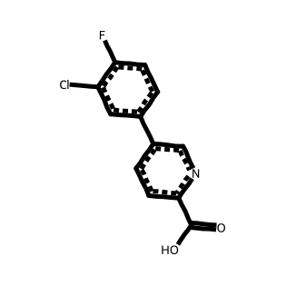 O=C(O)c1ccc(-c2ccc(F)c(Cl)c2)cn1